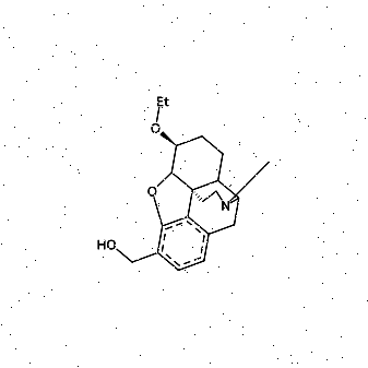 CCO[C@H]1CCC2C3Cc4ccc(CO)c5c4[C@@]2(CCN3C)C1O5